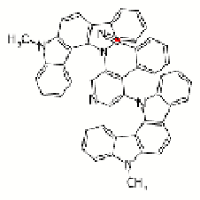 Cn1c2ccccc2c2c1ccc1c3ccccc3n(-c3cncc(-n4c5ccccc5c5ccc6c(c7ccccc7n6C)c54)c3-c3ccccc3C#N)c12